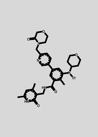 CCN(c1cc(-c2ccc(CN3CCOCC3=O)nc2)cc(C(=O)NCc2c(C)cc(C)[nH]c2=O)c1C)C1CCOCC1